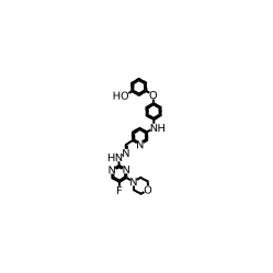 Oc1cccc(Oc2ccc(Nc3ccc(/C=N/Nc4ncc(F)c(N5CCOCC5)n4)nc3)cc2)c1